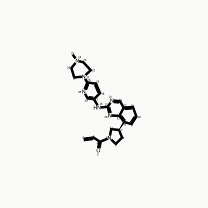 C=CC(=O)N1CC[C@H](c2cccc3cnc(Nc4ccc(N5CCN(C)CC5)nc4)nc23)C1